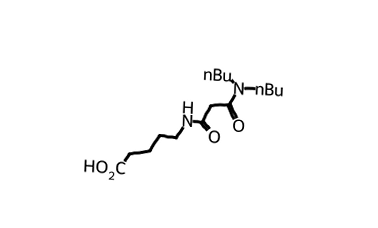 CCCCN(CCCC)C(=O)CC(=O)NCCCCC(=O)O